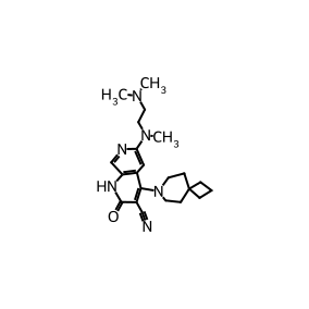 CN(C)CCN(C)c1cc2c(N3CCC4(CCC4)CC3)c(C#N)c(=O)[nH]c2cn1